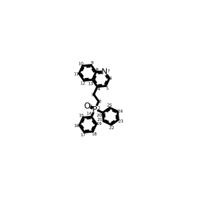 O=P(CCc1ccnc2ccccc12)(c1ccccc1)c1ccccc1